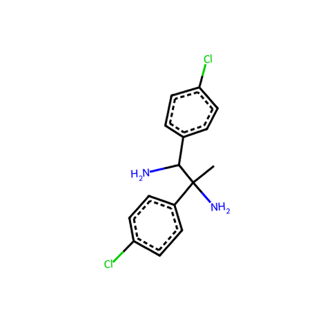 CC(N)(c1ccc(Cl)cc1)C(N)c1ccc(Cl)cc1